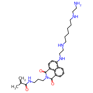 C=C(C)C(=O)NCCCN1C(=O)c2cccc3c(NCCNCCCCCCNCCN)ccc(c23)C1=O